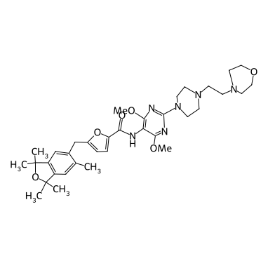 COc1nc(N2CCN(CCN3CCOCC3)CC2)nc(OC)c1NC(=O)c1ccc(Cc2cc3c(cc2C)C(C)(C)OC3(C)C)o1